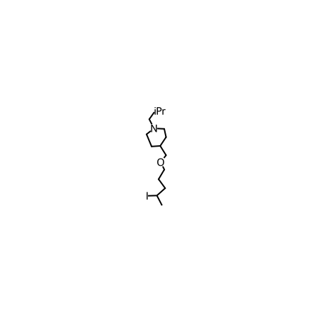 CC(C)CN1CCC(COCCCC(C)I)CC1